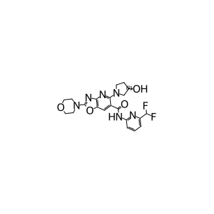 O=C(Nc1cccc(C(F)F)n1)c1cc2oc(N3CCOCC3)nc2nc1N1CC[C@@H](O)C1